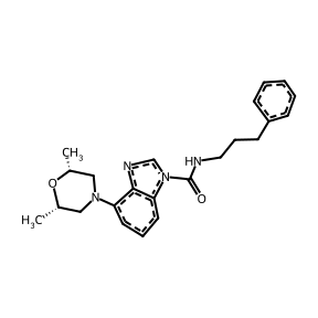 C[C@@H]1CN(c2cccc3c2ncn3C(=O)NCCCc2ccccc2)C[C@H](C)O1